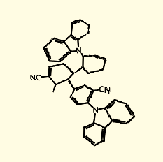 CC1C(C#N)=CCC(C2CCC=CC2n2c3c(c4ccccc42)C=CCC3)C1c1ccc(-n2c3ccccc3c3ccccc32)c(C#N)c1